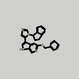 c1ccc(COc2cc3c(-c4cncn4C4CCc5ccccc54)c[nH]c3cn2)cc1